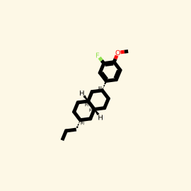 CCC[C@@H]1CC[C@@H]2C[C@H](c3ccc(OC)c(F)c3)CC[C@@H]2C1